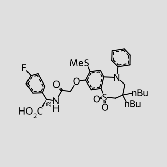 CCCCC1(CCCC)CN(c2ccccc2)c2cc(SC)c(OCC(=O)N[C@@H](C(=O)O)c3ccc(F)cc3)cc2S(=O)(=O)C1